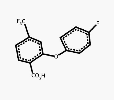 O=C(O)c1ccc(C(F)(F)F)cc1Oc1ccc(F)cc1